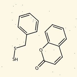 O=c1ccc2ccccc2o1.SSCc1ccccc1